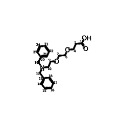 O=C(O)CCOCCOCCN(Cc1ccccc1)Cc1ccccc1